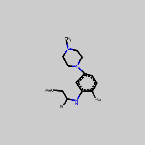 CCC(COC)Nc1cc(N2CCN(C)CC2)ccc1C(C)(C)C